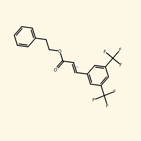 O=C(/C=C/c1cc(C(F)(F)F)cc(C(F)(F)F)c1)OCCc1ccccc1